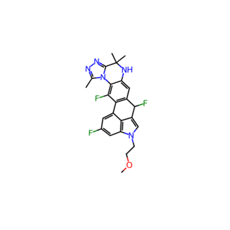 COCCn1cc2c3c(cc(F)cc31)-c1c(cc3c(c1F)-n1c(C)nnc1C(C)(C)N3)C2F